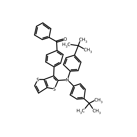 CC(C)(C)c1ccc(N(c2ccc(C(C)(C)C)cc2)c2sc3ccsc3c2-c2ccc(C(=O)c3ccccc3)cc2)cc1